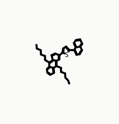 CCCCCCc1c2ccccc2c(CCCCCC)c2cc(-c3ccc(-c4cccc5ccccc45)s3)ccc12